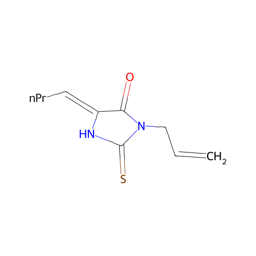 C=CCN1C(=O)/C(=C/CCC)NC1=S